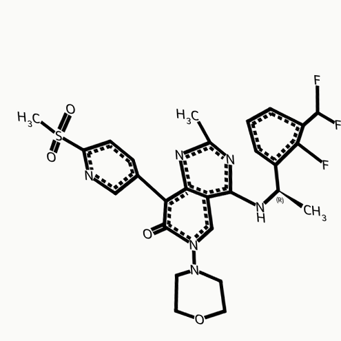 Cc1nc(N[C@H](C)c2cccc(C(F)F)c2F)c2cn(N3CCOCC3)c(=O)c(-c3ccc(S(C)(=O)=O)nc3)c2n1